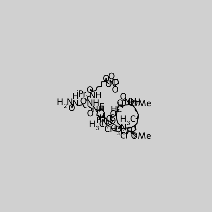 COc1cc2cc(c1Cl)N(C)C(=O)C[C@H](OC(=O)[C@H](C)N(C)C(=O)c1cc(F)c(NC(=O)[C@H](CCCNC(N)=O)NC(=O)[C@@H](NC(=O)CCCCC(=O)ON3C(=O)CCC3=O)C(C)C)cc1F)[C@]1(C)O[C@H]1C[C@@H]1C[C@@](O)(NC(=O)O1)[C@H](OC)/C=C/C=C(\C)C2